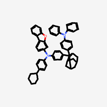 c1ccc(N(c2ccccc2)c2ccc(C3(c4ccc(N(c5ccc(C6CCCCC6)cc5)c5ccc6c(c5)oc5ccccc56)cc4)C4CC5CC(C4)CC3C5)cc2)cc1